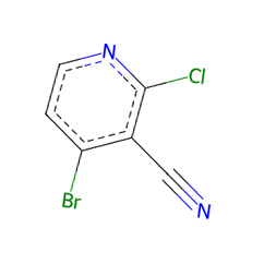 N#Cc1c(Br)ccnc1Cl